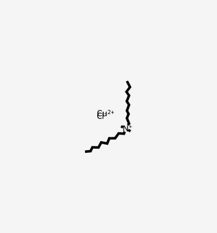 CCCCCCCCCC[N+](C)(C)CCCCCCCCCC.[Cl-].[Cu+2]